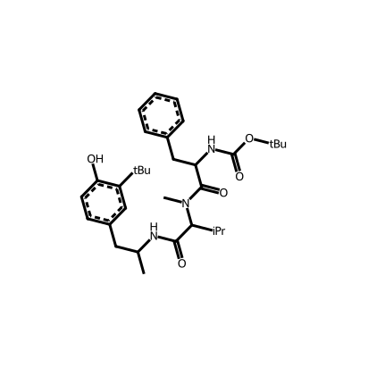 CC(Cc1ccc(O)c(C(C)(C)C)c1)NC(=O)C(C(C)C)N(C)C(=O)C(Cc1ccccc1)NC(=O)OC(C)(C)C